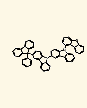 c1ccc(C2(c3ccc4c(c3)c3ccccc3n4-c3ccc4c(c3)c3ccccc3n4-c3cccc4sc5ccccc5c34)c3ccccc3-c3ccccc32)cc1